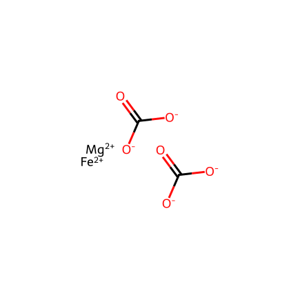 O=C([O-])[O-].O=C([O-])[O-].[Fe+2].[Mg+2]